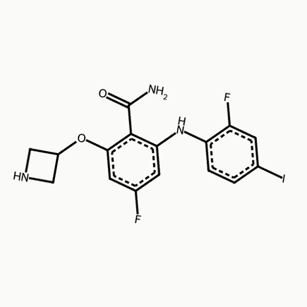 NC(=O)c1c(Nc2ccc(I)cc2F)cc(F)cc1OC1CNC1